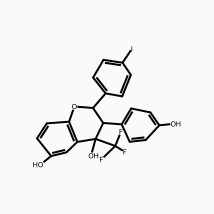 Oc1ccc(C2C(c3ccc(I)cc3)Oc3ccc(O)cc3C2(O)C(F)(F)F)cc1